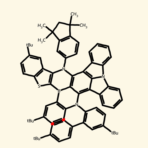 CC(C)(C)c1ccc(-c2cc(C(C)(C)C)ccc2N2c3ccc(C(C)(C)C)cc3B3c4sc5ccc(C(C)(C)C)cc5c4N(c4ccc5c(c4)C(C)(C)CC5(C)C)c4c3c2c2c3ccccc3n3c5ccccc5c4c23)cc1